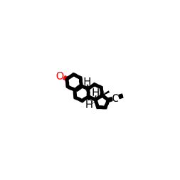 C=C=C1CC[C@H]2[C@@H]3CCC4=C(CCC(=O)C4)[C@H]3CC[C@]12C